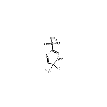 CCC1(C)C=NC(S(N)(=O)=O)=CN1